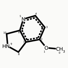 COc1ccnc2c1CNC2